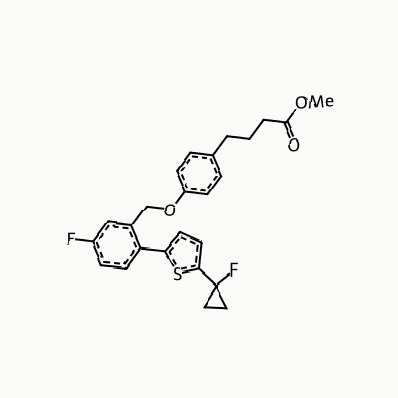 COC(=O)CCCc1ccc(OCc2cc(F)ccc2-c2ccc(C3(F)CC3)s2)cc1